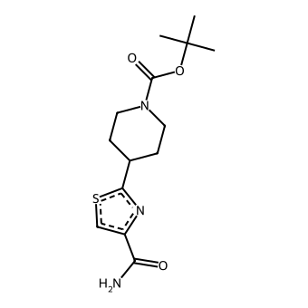 CC(C)(C)OC(=O)N1CCC(c2nc(C(N)=O)cs2)CC1